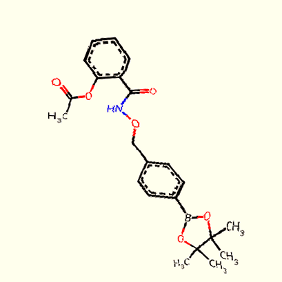 CC(=O)Oc1ccccc1C(=O)NOCc1ccc(B2OC(C)(C)C(C)(C)O2)cc1